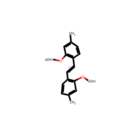 CCCCCCCCCCOc1cc(C)ccc1/C=C/c1ccc(C)cc1OCCCCCCCCCC